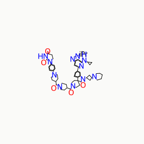 CC(C)n1cnc2cc(-c3ccc4c(c3)N([C@H]3C[C@@H](N5CCCCC5)C3)C(=O)C43CCN(C(=O)C4CCN(C(=O)C5CCN(c6ccc(N7CCC(=O)NC7=O)cc6)CC5)CC4)CC3)nc(NC3CC3)c21